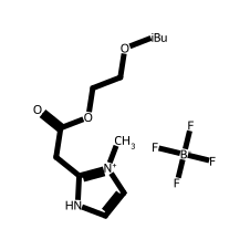 CCC(C)OCCOC(=O)Cc1[nH]cc[n+]1C.F[B-](F)(F)F